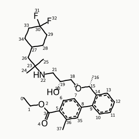 CCOC(=O)c1ccc(-c2ccccc2[C@@H](C)OC[C@H](O)CNC(C)(C)CC2CCC(F)(F)CC2)cc1C